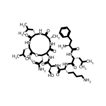 CC(C)C[C@@H]1NC(=O)[C@H](C)NC(=O)C(NC(=O)[C@H](CO)NC(=O)[C@@H](CCCCN)NC(=O)[C@@H](CC(C)C)NC(=O)[C@@H](N)Cc2ccccc2)[C@H](CC(N)=O)OC(=O)[C@H](CC(C)C)NC1=O